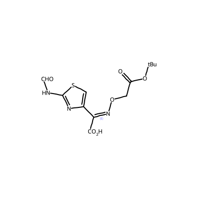 CC(C)(C)OC(=O)CO/N=C(/C(=O)O)c1csc(NC=O)n1